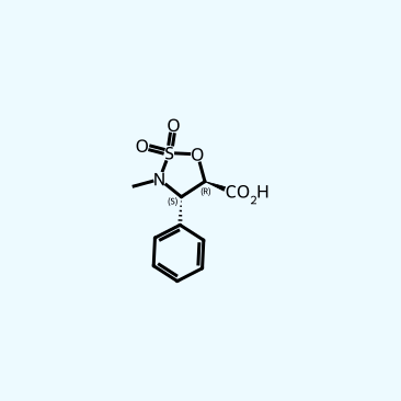 CN1[C@@H](c2ccccc2)[C@H](C(=O)O)OS1(=O)=O